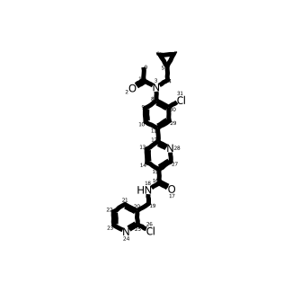 CC(=O)N(CC1CC1)c1ccc(-c2ccc(C(=O)NCc3cccnc3Cl)cn2)cc1Cl